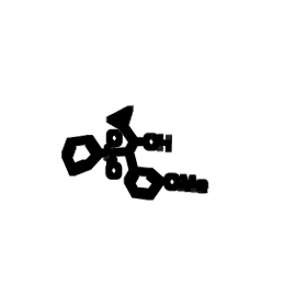 COc1cccc(C(C(O)C2CC2)S(=O)(=O)c2ccccc2)c1